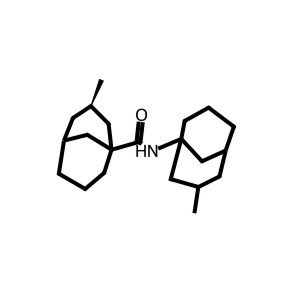 CC1CC2CCCC(NC(=O)C34CCCC(C[C@@H](C)C3)C4)(C1)C2